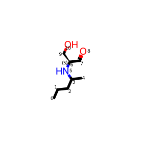 CCCC(C)N[C@H](C=O)CO